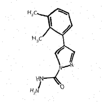 Cc1cccc(-c2cnn(C(=O)NN)c2)c1C